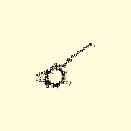 CC(=O)NC(O)(CC(=O)O)C(=O)N[C@H]1CSSC[C@@H](C(=O)N[C@H](C(=O)O)[C@@H](C)O)NC(=O)[C@H](Cc2c[nH]c3ccccc23)NC(=O)[C@H](C(C)C)NC(=O)[C@H](CC(C)C)NC(=O)C(CCC(=O)O)NC(=O)CNC(=O)[C@H](CC(C)C)NC(=O)[C@H](CCCCNC(=O)OCc2ccc(OC(=O)CCOCCOCCOCCOCCOCCOCCN)cc2)NC(=O)[C@H](Cc2c[nH]c3ccccc23)NC(=O)[C@H](C)NC1=O